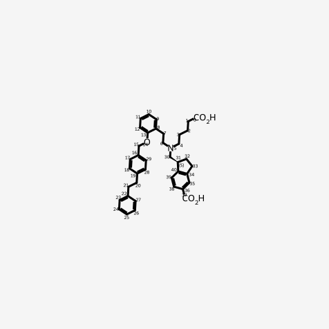 O=C(O)CCCCN(CCc1ccccc1OCc1ccc(CCc2ccccc2)cc1)C[C@H]1CCc2cc(C(=O)O)ccc21